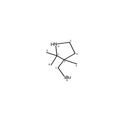 CCC(C)CC1(C)CCNC1(C)C